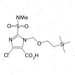 CNS(=O)(=O)c1nc(Cl)c(C(=O)O)n1COCC[Si](C)(C)C